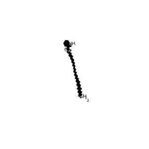 CCCCCCCCCCCCCCCCCCCCCCCCCCCCOC(=O)c1c[nH]c2ccccc12